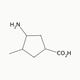 CC1CC(C(=O)O)CC1N